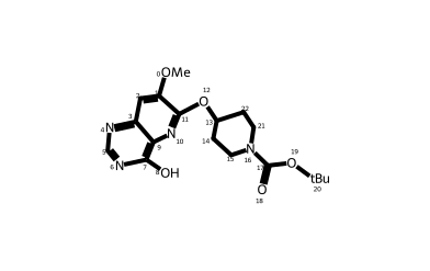 COc1cc2ncnc(O)c2nc1OC1CCN(C(=O)OC(C)(C)C)CC1